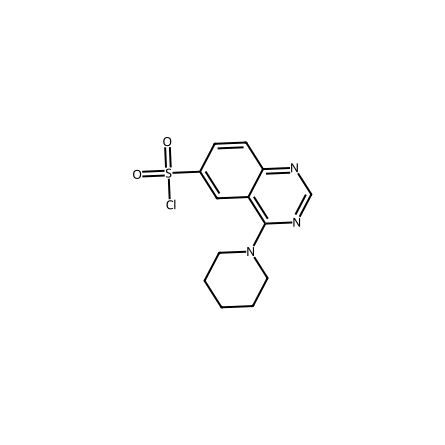 O=S(=O)(Cl)c1ccc2ncnc(N3CCCCC3)c2c1